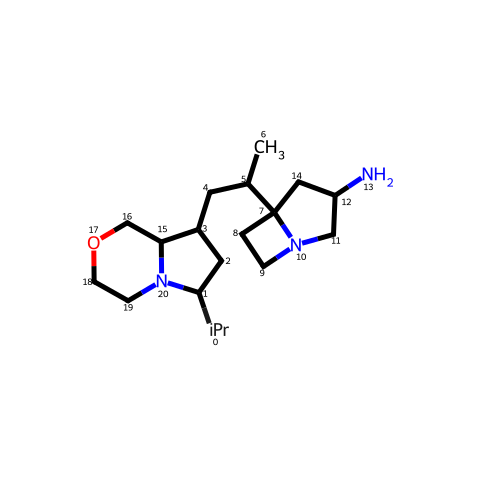 CC(C)C1CC(CC(C)C23CCN2CC(N)C3)C2COCCN12